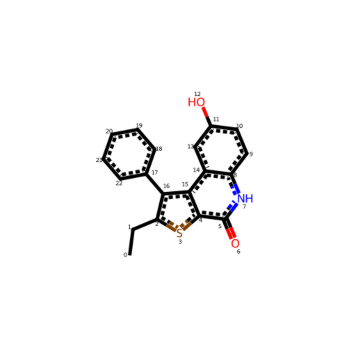 CCc1sc2c(=O)[nH]c3ccc(O)cc3c2c1-c1ccccc1